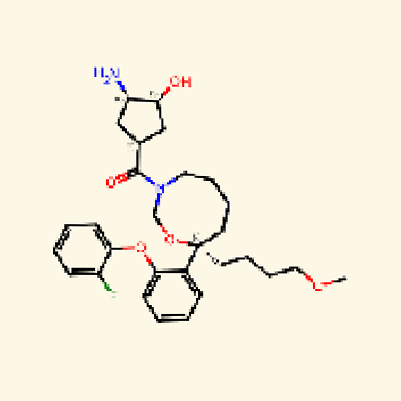 COCCCC[C@@]1(c2ccccc2Oc2ccccc2F)CCCCN(C(=O)[C@H]2C[C@@H](N)[C@@H](O)C2)CO1